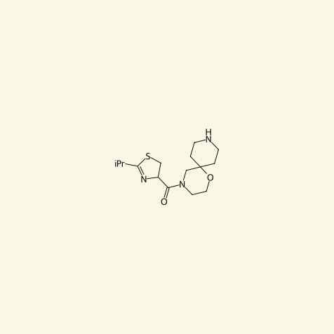 CC(C)C1=NC(C(=O)N2CCOC3(CCNCC3)C2)CS1